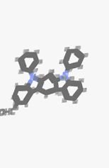 O=Cc1ccc2c(c1)c1cc3c4ccccc4n(-c4ccccc4)c3cc1n2-c1ccccc1